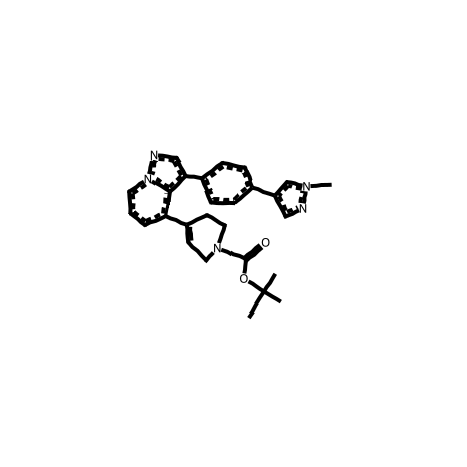 Cn1cc(-c2ccc(-c3cnn4cccc(C5=CCN(C(=O)OC(C)(C)C)CC5)c34)cc2)cn1